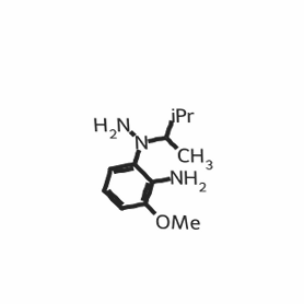 COc1cccc(N(N)C(C)C(C)C)c1N